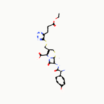 CCOC(=O)CCc1nn[nH]c1SCC1=C(C(=O)O)N2C(=O)C(NC(=O)C(N)c3ccc(O)cc3)[C@@H]2SC1